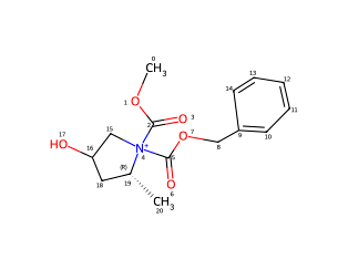 COC(=O)[N+]1(C(=O)OCc2ccccc2)CC(O)C[C@H]1C